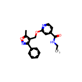 Cc1onc(-c2ccccc2)c1COc1cc(C(=O)NCC(F)(F)F)ccn1